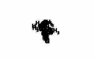 COc1cc(S(C)(=O)=O)ccc1N(C(=O)OCOC(=O)C(NC(=O)OC(C)(C)C)C(C)(C)C)c1nc2ccc(Cl)cn2n1